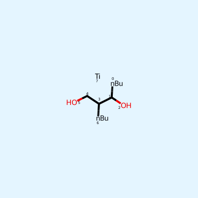 CCCCC(O)C(CO)CCCC.[Ti]